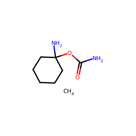 C.NC(=O)OC1(N)CCCCC1